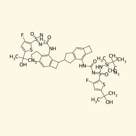 CC(C)(O)c1cc(F)c(S(N)(=O)=NC(=O)Nc2c3c(cc4c2C(C2Cc5cc6c(c(NC(=O)N=S(=O)(N[Si](C)(C)C(C)(C)C)c7sc(C(C)(C)O)cc7F)c5C2)CC6)C4)CCC3)s1